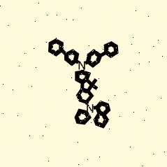 CC1(C)C2=C(C=CC(N(c3ccccc3)c3cccc4ccccc34)C2)c2ccc(N(c3ccc(-c4ccccc4)cc3)c3ccc(-c4ccccc4)cc3)cc21